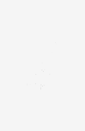 O=COCCN1CCNC(O)C1